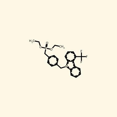 CCOP(=O)(Cc1ccc(Cn2c3ccccc3c3c(C(F)(F)F)cccc32)cc1)OCC